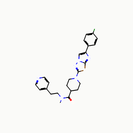 CN(CCc1ccncc1)C(=O)C1CCN(c2nn3cc(-c4ccc(Cl)cc4)nc3s2)CC1